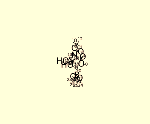 COC(=O)[C@H]1N(C(=O)OC(C)(C)C)C[C@H](O)[C@@]1(O)CCCB1OC(C)(C)C(C)(C)O1